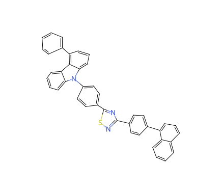 c1ccc(-c2cccc3c2c2ccccc2n3-c2ccc(-c3nc(-c4ccc(-c5cccc6ccccc56)cc4)ns3)cc2)cc1